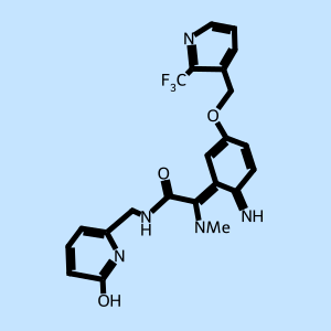 CN/C(C(=O)NCc1cccc(O)n1)=C1/C=C(OCc2cccnc2C(F)(F)F)C=CC1=N